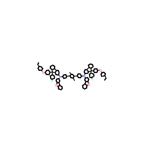 C=Cc1ccc(Oc2ccc(C3(c4ccc(F)cc4)c4ccccc4-c4ccc(N(c5ccc(-c6cc(C)c(-c7ccc(N(c8ccc9c(c8)C(c8ccc(F)cc8)(c8ccc(Oc%10ccc(C=C)cc%10)cc8)c8ccccc8-9)c8ccc9oc%10ccccc%10c9c8)cc7)cc6C)cc5)c5ccc6oc7ccccc7c6c5)cc43)cc2)cc1